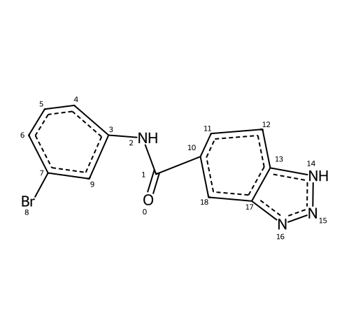 O=C(Nc1cccc(Br)c1)c1ccc2[nH]nnc2c1